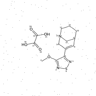 COc1nsnc1C1=CC2CCCN(C1)C2.O=C(O)C(=O)O